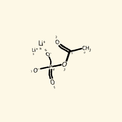 CC(=O)OP(=O)([O-])[O-].[Li+].[Li+]